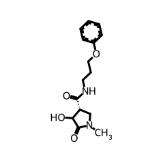 CN1C[C@@H](C(=O)NCCCOc2ccccc2)C(O)C1=O